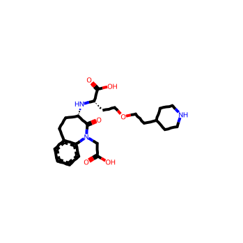 O=C(O)CN1C(=O)[C@@H](N[C@@H](CCOCCC2CCNCC2)C(=O)O)CCc2ccccc21